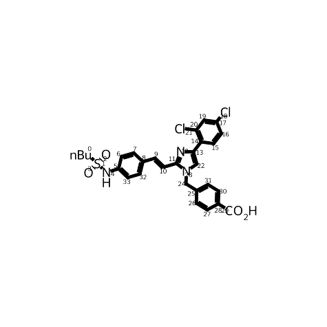 CCCCS(=O)(=O)Nc1ccc(C=Cc2nc(-c3ccc(Cl)cc3Cl)cn2Cc2ccc(C(=O)O)cc2)cc1